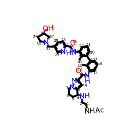 CC(=O)NCCNC1CCCn2nc(C(=O)Nc3cccc(-c4cccc(NC(=O)c5ccc(CN6CC[C@@H](O)C6)cn5)c4C)c3C)cc21